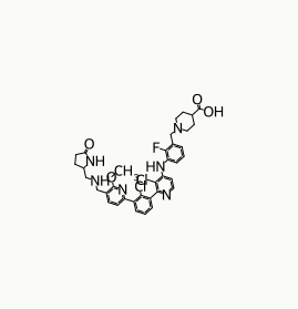 COc1nc(-c2cccc(-c3nccc(Nc4cccc(CN5CCC(C(=O)O)CC5)c4F)c3Cl)c2Cl)ccc1CNCC1CCC(=O)N1